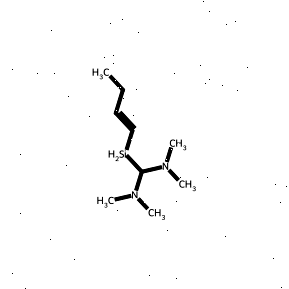 CCC=C[SiH2]C(N(C)C)N(C)C